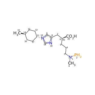 CN(P)CCC[C@@H](Cc1cn([C@H]2CC[C@H](C)CC2)cn1)C(=O)O